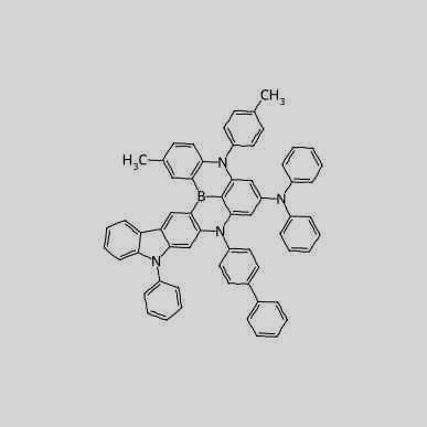 Cc1ccc(N2c3ccc(C)cc3B3c4cc5c6ccccc6n(-c6ccccc6)c5cc4N(c4ccc(-c5ccccc5)cc4)c4cc(N(c5ccccc5)c5ccccc5)cc2c43)cc1